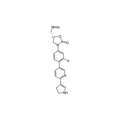 CC(=O)NC[C@H]1CN(c2ccc(-c3ccc(C4=CNCC4)nc3)c(F)c2)C(=O)O1